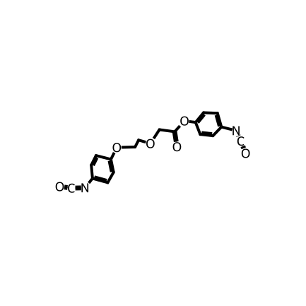 O=C=Nc1ccc(OCCOCC(=O)Oc2ccc(N=C=O)cc2)cc1